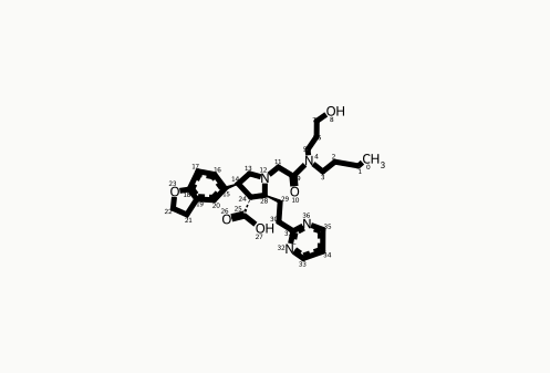 CCCCN(CCCO)C(=O)CN1C[C@H](c2ccc3c(c2)CCO3)[C@@H](C(=O)O)[C@@H]1CCc1ncccn1